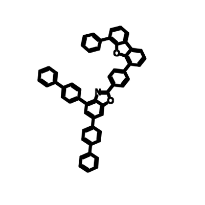 c1ccc(-c2ccc(-c3cc(-c4ccc(-c5ccccc5)cc4)c4nc(-c5ccc(-c6cccc7c6oc6c(-c8ccccc8)cccc67)cc5)oc4c3)cc2)cc1